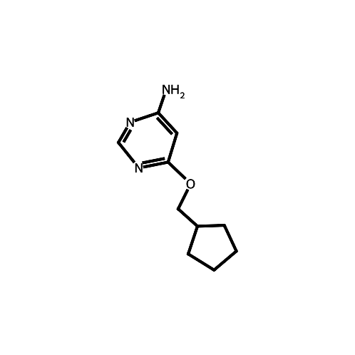 Nc1cc(OCC2CCCC2)ncn1